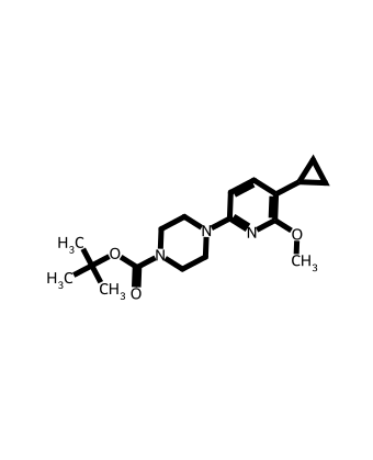 COc1nc(N2CCN(C(=O)OC(C)(C)C)CC2)ccc1C1CC1